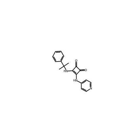 CC(C)(Nc1c(Nc2ccncc2)c(=O)c1=O)c1ccccc1